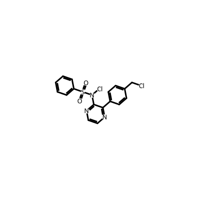 O=S(=O)(c1ccccc1)N(Cl)c1nccnc1-c1ccc(CCl)cc1